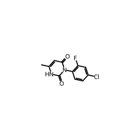 Cc1cc(=O)n(-c2ccc(Cl)cc2F)c(=O)[nH]1